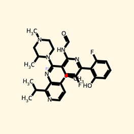 CSc1ccnc(C(C)C)c1/N=C(\c1cc(F)c(-c2c(O)cccc2F)nc1NC=O)N1CCN(C)CC1C